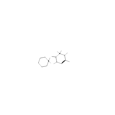 O=C(O)C1=CC2OC3(CCCCC3)OC2C(O)(O)C1F